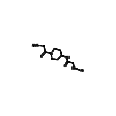 CSCC(=O)N1CCC(NC(=O)CNC(C)C)CC1